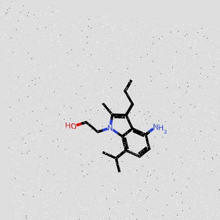 CCCc1c(C)n(CCO)c2c(C(C)C)ccc(N)c12